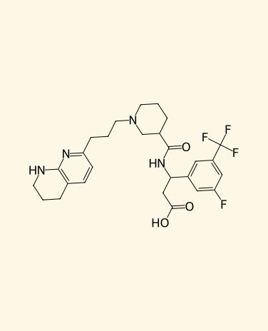 O=C(O)CC(NC(=O)C1CCCN(CCCc2ccc3c(n2)NCCC3)C1)c1cc(F)cc(C(F)(F)F)c1